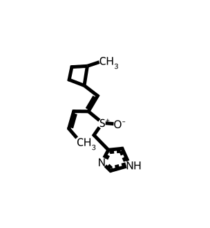 C/C=C\C(=C/C1CCC1C)[S+]([O-])Cc1c[nH]cn1